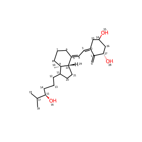 C=C1/C(=C\C=C2/CCC[C@]3(C)C(CCC[C@@H](O)C(C)C)CC[C@@H]23)CC(O)C[C@@H]1O